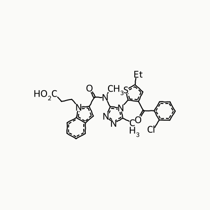 CCc1cc(C(=O)c2ccccc2Cl)c(-n2c(C)nnc2N(C)C(=O)c2cc3ccccc3n2CCC(=O)O)s1